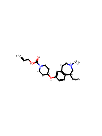 C=CCOC(=O)N1CCC(Oc2ccc3c(c2)CCN(C(=O)O)CC3CC(C)C)CC1